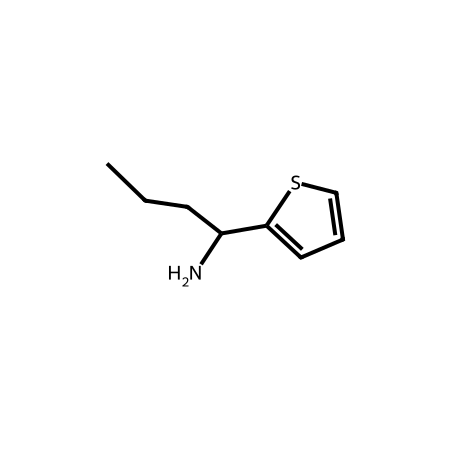 CCCC(N)c1cccs1